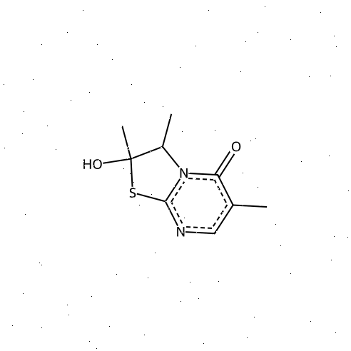 Cc1cnc2n(c1=O)C(C)C(C)(O)S2